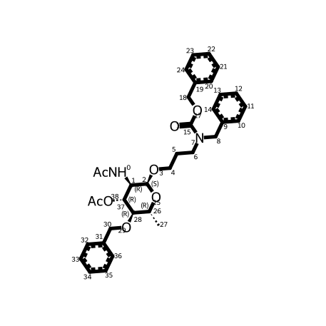 CC(=O)N[C@H]1[C@@H](OCCCN(Cc2ccccc2)C(=O)OCc2ccccc2)O[C@H](C)[C@@H](OCc2ccccc2)[C@@H]1OC(C)=O